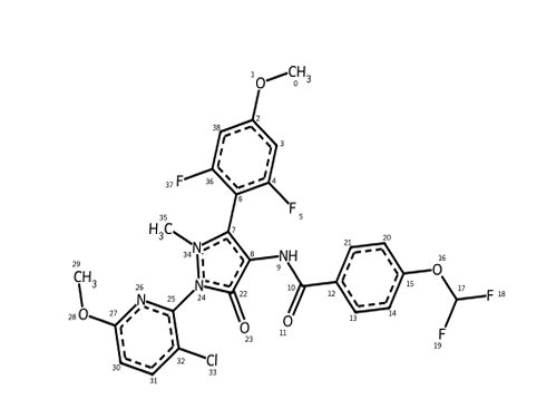 COc1cc(F)c(-c2c(NC(=O)c3ccc(OC(F)F)cc3)c(=O)n(-c3nc(OC)ccc3Cl)n2C)c(F)c1